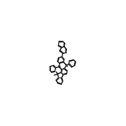 CC1(C)c2ccccc2-c2ccc3c(c21)N(c1ccccc1)c1ccc(-c2ccc4ccccc4c2)cc1N3c1ccccc1